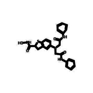 O=C(CN(CC(=O)Nc1ccccc1)c1ccc2c(c1)CC(C(=O)NO)S2)Nc1ccccc1